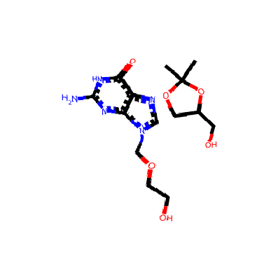 CC1(C)OCC(CO)O1.Nc1nc2c(ncn2COCCO)c(=O)[nH]1